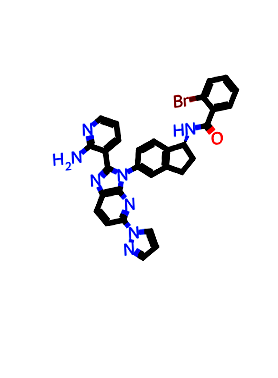 Nc1ncccc1-c1nc2ccc(-n3cccn3)nc2n1-c1ccc2c(c1)CC[C@@H]2NC(=O)c1ccccc1Br